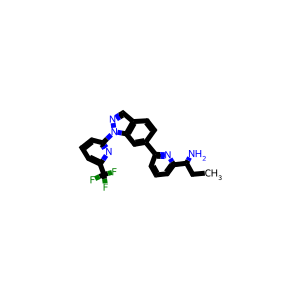 CCC(N)c1cccc(-c2ccc3cnn(-c4cccc(C(F)(F)F)n4)c3c2)n1